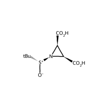 CC(C)(C)[S@@+]([O-])[N@]1[C@H](C(=O)O)[C@@H]1C(=O)O